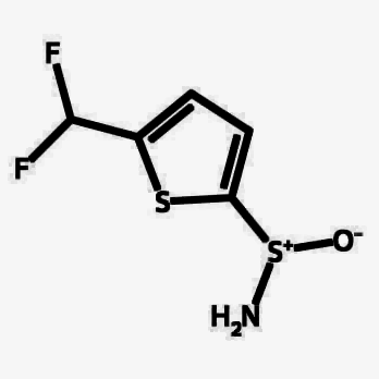 N[S+]([O-])c1ccc(C(F)F)s1